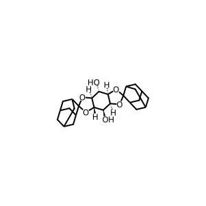 O[C@@H]1[C@H]2OC3(O[C@H]2[C@@H](O)[C@@H]2OC4(O[C@@H]12)C1CC2CC(C1)CC4C2)C1CC2CC(C1)CC3C2